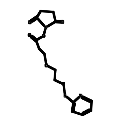 O=C(CCOCCSSc1ccccn1)ON1C(=O)CCC1=O